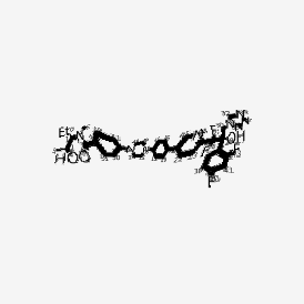 CC[C@@H]([C@H](C)O)N(C)C(=O)c1ccc(N2CCN(c3ccc(-c4ccc(C(F)(F)[C@](O)(Cn5cnnn5)c5ccc(F)cc5F)nc4)cc3)CC2)cc1